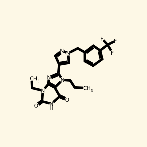 CCCn1c(-c2cnn(Cc3cccc(C(F)(F)F)c3)c2)nc2c1c(=O)[nH]c(=O)n2CC